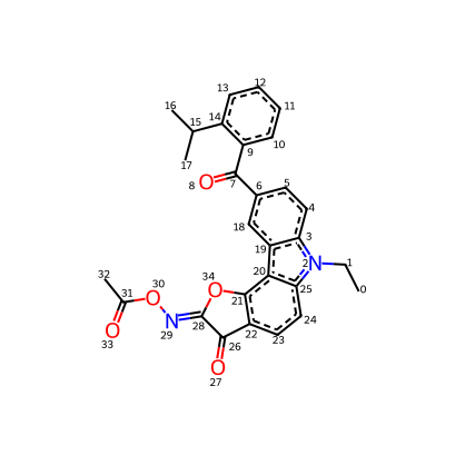 CCn1c2ccc(C(=O)c3ccccc3C(C)C)cc2c2c3c(ccc21)C(=O)/C(=N/OC(C)=O)O3